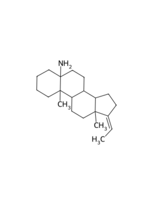 C/C=C1/CCC2C3CCC4(N)CCCCC4(C)C3CCC12C